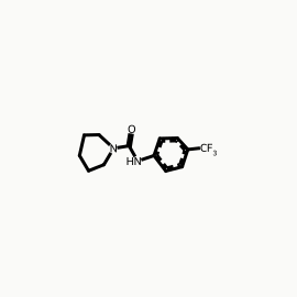 O=C(Nc1ccc(C(F)(F)F)cc1)N1CCCCC1